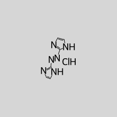 Cl.c1c[nH]c(N=Nc2ncc[nH]2)n1